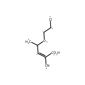 CC(C=C(C#N)C(=O)O)OCCCl